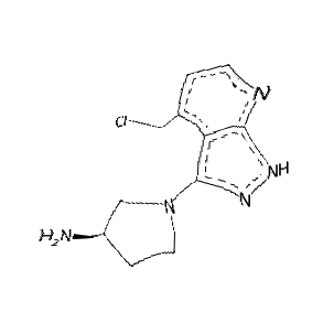 N[C@@H]1CCN(c2n[nH]c3nccc(Cl)c23)C1